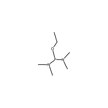 CCOP(N(C)C)N(C)C